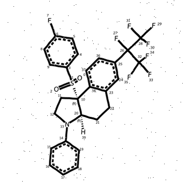 O=S(=O)(c1ccc(F)cc1)[C@@]12CCN(c3ccccc3)[C@@H]1CCc1cc(C(F)(C(F)(F)F)C(F)(F)F)ccc12